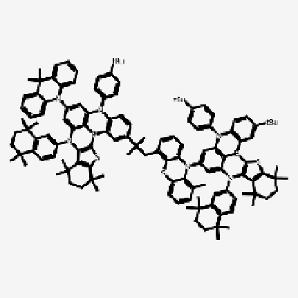 Cc1cccc2c1N(c1cc3c4c(c1)N(c1ccc5c(c1)C(C)(C)CCC5(C)C)c1c(sc5c1C(C)(C)CCC5(C)C)B4c1cc(C(C)(C)C)ccc1N3c1ccc(C(C)(C)C)cc1)c1cccc(CC(C)(C)c3ccc4c(c3)B3c5sc6c(c5N(c5ccc7c(c5)C(C)(C)CCC7(C)C)c5cc(N7c8ccccc8C(C)(C)c8ccccc87)cc(c53)N4c3ccc(C(C)(C)C)cc3)C(C)(C)CCC6(C)C)c1S2